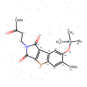 COC(=O)CCN1C(=O)c2sc3cc(OC)c(O[Si](C)(C)C(C)(C)C)cc3c2C1=O